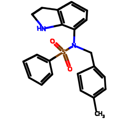 Cc1ccc(CN(c2cccc3c2NCC3)S(=O)(=O)c2ccccc2)cc1